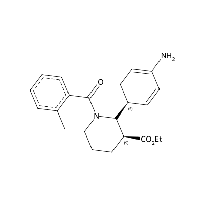 CCOC(=O)[C@H]1CCCN(C(=O)c2ccccc2C)C1[C@@H]1C=CC(N)=CC1